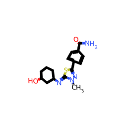 Cn1nc(-c2ccc(C(N)=O)cc2)sc1=NC1CCCC(O)C1